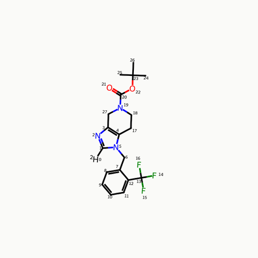 [2H]c1nc2c(n1Cc1ccccc1C(F)(F)F)CCN(C(=O)OC(C)(C)C)C2